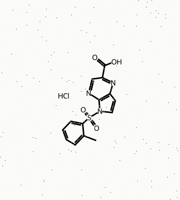 Cc1ccccc1S(=O)(=O)n1ccc2nc(C(=O)O)cnc21.Cl